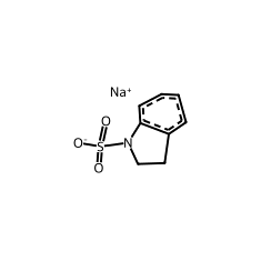 O=S(=O)([O-])N1CCc2ccccc21.[Na+]